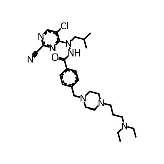 CCN(CC)CCCN1CCN(Cc2ccc(C(=O)NN(CC(C)C)c3nc(C#N)ncc3Cl)cc2)CC1